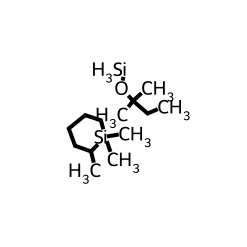 CC1CCCC[Si]1(C)C.CCC(C)(C)O[SiH3]